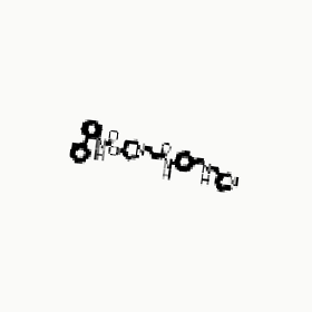 O=C(CCN1CCC(OC(=O)Nc2ccccc2-c2ccccc2)CC1)Nc1ccc(CNCc2cccnc2)cc1